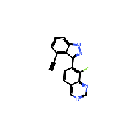 C#Cc1cccc2[nH]nc(-c3ccc4cncnc4c3F)c12